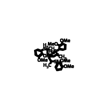 COc1cccc([SiH2]C(C)CC([SiH3])(CC(C)[SiH2]c2cccc(OC)c2OC)CC(C)[SiH2]c2cccc(OC)c2OC)c1OC